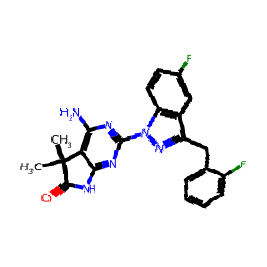 CC1(C)C(=O)Nc2nc(-n3nc(Cc4ccccc4F)c4cc(F)ccc43)nc(N)c21